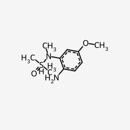 COc1ccc(N)c(N(C)[SH](C)(C)=O)c1